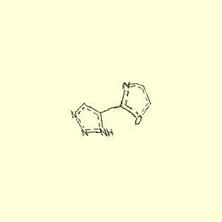 [c]1nn[nH]c1-c1ncco1